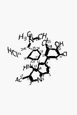 CC(=O)c1cnc2ccc(-c3cc(Cl)c(O)c(Cl)c3)cc2c1N[C@H]1CCC[C@@H](CN(C)C)C1.Cl